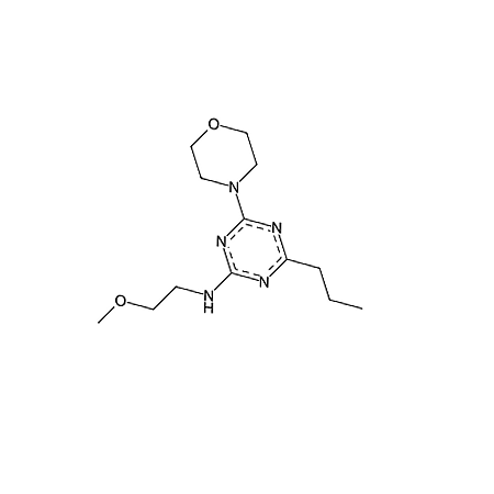 CCCc1nc(NCCOC)nc(N2CCOCC2)n1